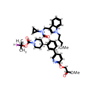 COCCCn1cc(CN(C(=O)[C@H]2CN(C(=O)OC(C)(C)I)CC[C@@H]2c2cccc(-c3ccc(OCC(=O)OC)nc3)c2)C2CC2)c2ccccc21